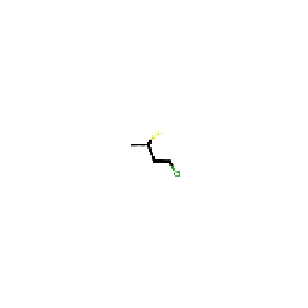 [CH2]C(S)CCCl